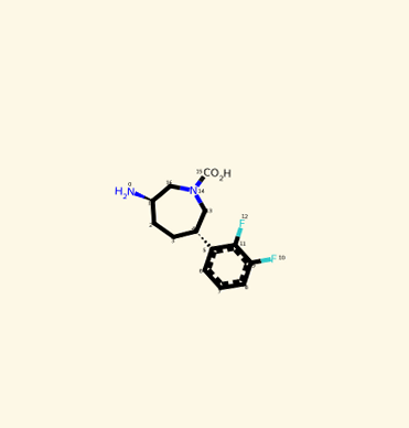 N[C@@H]1CC[C@@H](c2cccc(F)c2F)CN(C(=O)O)C1